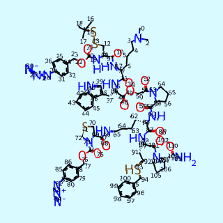 CN(C)CCCC[C@H](NC(=O)[C@H](CSSC(C)(C)C)NC(=O)OCc1ccc(N=[N+]=[N-])cc1)C(=O)N[C@@H](Cc1c[nH]c2ccccc12)C(=O)OCC(=O)N1CCC[C@H]1C(=O)N[C@@H](CCCCNC(=O)C1CSCN1C(=O)OCc1ccc(N=[N+]=[N-])cc1)C(=O)N[C@@H](CC=[SH]Cc1ccccc1)C(=O)N1CCC[C@H]1C(N)=O